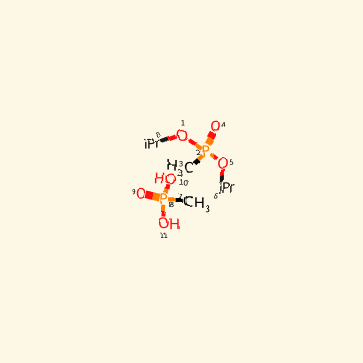 CC(C)OP(C)(=O)OC(C)C.CP(=O)(O)O